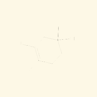 CC1=C(F)CC(C)(O)CC1